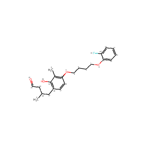 Cc1c(OCCCCOc2ccccc2F)ccc(CC(C)CC=O)c1O